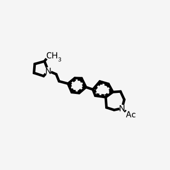 CC(=O)N1CCc2ccc(-c3ccc(CCN4CCCC4C)cc3)cc2CC1